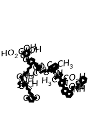 Cc1c(-c2ccc(-c3ccc4cccc(C(=O)Nc5nc6ccccc6s5)c4c3)nc2C(=O)O)cnn1CC12CC3(C)CC(C)(C1)CC(OCCN(C)C(=O)OCc1ccc(O[C@H]4C[C@@H](O)[C@H](O)[C@@H](C(=O)O)O4)cc1CCCCNC(=O)[C@H](CS(=O)(=O)O)NC(=O)CCCCCN1C(=O)C=CC1=O)(C3)C2